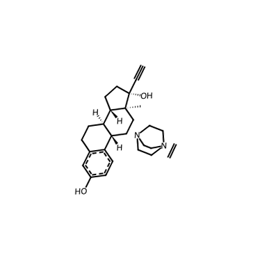 C#C[C@]1(O)CC[C@H]2[C@@H]3CCc4cc(O)ccc4[C@H]3CC[C@@]21C.C1CN2CCN1CC2.C=C